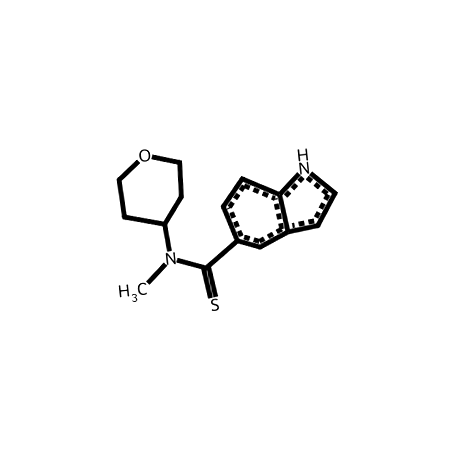 CN(C(=S)c1ccc2[nH]ccc2c1)C1CCOCC1